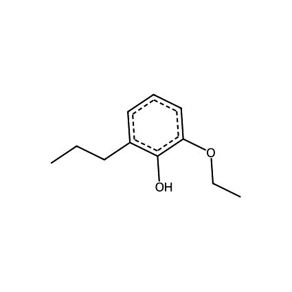 CCCc1cccc(OCC)c1O